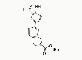 CC(C)(C)OC(=O)N1CCc2ccc(-c3cnc4[nH]cc(I)c4c3)cc2C1